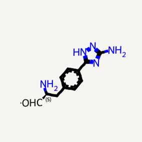 Nc1n[nH]c(-c2ccc(C[C@H](N)[C]=O)cc2)n1